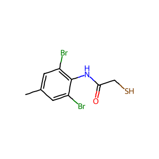 Cc1cc(Br)c(NC(=O)CS)c(Br)c1